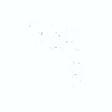 CN1c2cc(F)cc3c(O)c(C(=O)NCC(=O)O)c(=O)n(c23)CC1c1ccc(C(F)(F)F)cc1